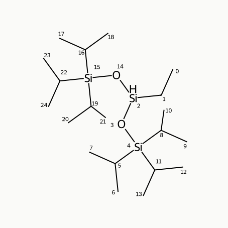 CC[SiH](O[Si](C(C)C)(C(C)C)C(C)C)O[Si](C(C)C)(C(C)C)C(C)C